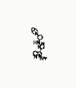 CCCn1cc(-c2ccnc(Nc3cccc(N4CCOCC4)c3)n2)c2cccnc21